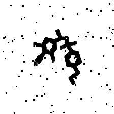 CCCc1ccc(C(F)(F)OC(C)c2cc(F)c(C#N)c(F)c2)cc1